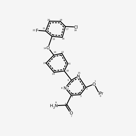 CC(C)Oc1cc(C(N)=O)nc(-c2ccc(Oc3cc(Cl)ccc3F)cc2)n1